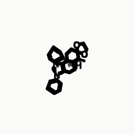 C[C@H]1[C@@H]2CCc3c(ncn3-c3ccccc3)[C@@]2(c2ccccc2)CCC12OCCO2